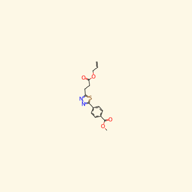 C=CCOC(=O)CCc1nnc(-c2ccc(C(=O)OC)cc2)s1